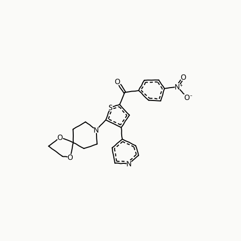 O=C(c1ccc([N+](=O)[O-])cc1)c1cc(-c2ccncc2)c(N2CCC3(CC2)OCCO3)s1